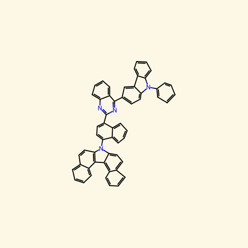 c1ccc(-n2c3ccccc3c3cc(-c4nc(-c5ccc(-n6c7ccc8ccccc8c7c7c8ccccc8ccc76)c6ccccc56)nc5ccccc45)ccc32)cc1